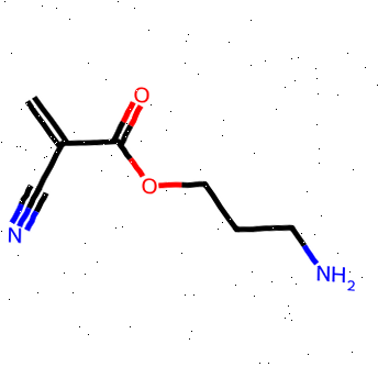 C=C(C#N)C(=O)OCCCN